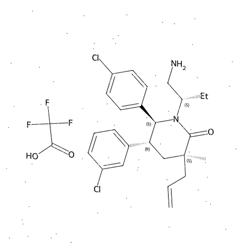 C=CC[C@@]1(C)C[C@H](c2cccc(Cl)c2)[C@@H](c2ccc(Cl)cc2)N([C@@H](CC)CN)C1=O.O=C(O)C(F)(F)F